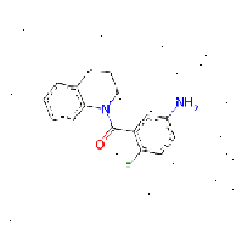 Nc1ccc(F)c(C(=O)N2CCCc3ccccc32)c1